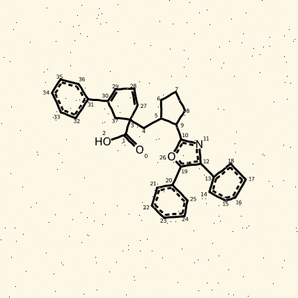 O=C(O)C1(CC2CCCC2c2nc(-c3ccccc3)c(-c3ccccc3)o2)C=CC=C(c2ccccc2)C1